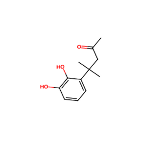 CC(=O)CC(C)(C)c1cccc(O)c1O